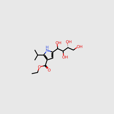 CCOC(=O)c1cc(C(O)C(O)[C@H](O)CO)[nH]c1C(C)C